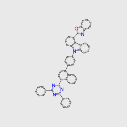 c1ccc(-c2nc(-c3ccccc3)nc(-c3ccc(-c4ccc(-n5c6ccccc6c6c(-c7nc8ccccc8o7)cccc65)cc4)c4ccccc34)n2)cc1